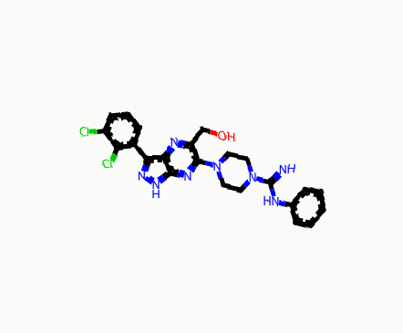 N=C(Nc1ccccc1)N1CCN(c2nc3[nH]nc(-c4cccc(Cl)c4Cl)c3nc2CO)CC1